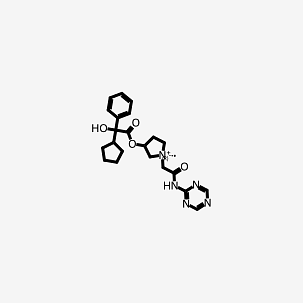 C[N@@+]1(CC(=O)Nc2ncncn2)CCC(OC(=O)C(O)(c2ccccc2)C2CCCC2)C1